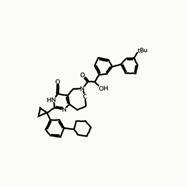 CC(C)(C)c1cccc(-c2cccc(C(O)C(=O)N3CCCc4nc(C5(c6cccc(C7CCCCC7)c6)CC5)[nH]c(=O)c4C3)c2)c1